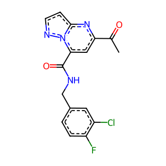 CC(=O)c1cc(C(=O)NCc2ccc(F)c(Cl)c2)n2nccc2n1